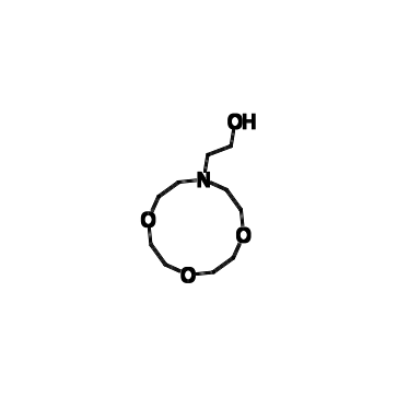 OCCN1CCOCCOCCOCC1